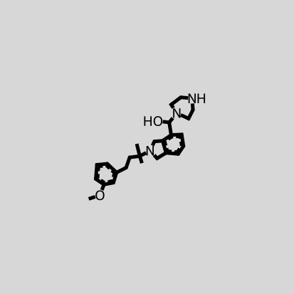 COc1cccc(CCC(C)(C)N2Cc3cccc(C(O)N4CCNCC4)c3C2)c1